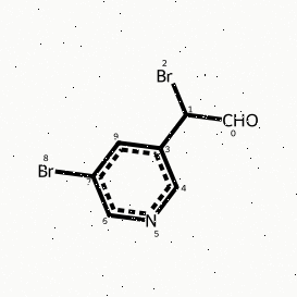 O=CC(Br)c1cncc(Br)c1